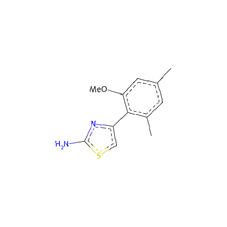 COc1cc(C)cc(C)c1-c1csc(N)n1